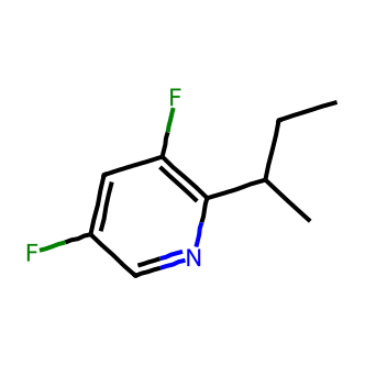 CCC(C)c1ncc(F)cc1F